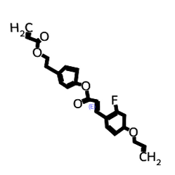 C=CCOC1C=CC(/C=C/C(=O)Oc2ccc(CCOC(=O)C=C)cc2)=C(F)C1